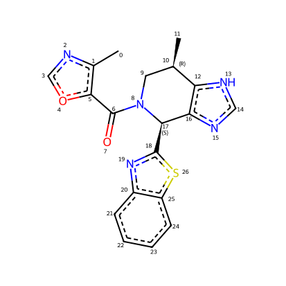 Cc1ncoc1C(=O)N1C[C@@H](C)c2[nH]cnc2[C@H]1c1nc2ccccc2s1